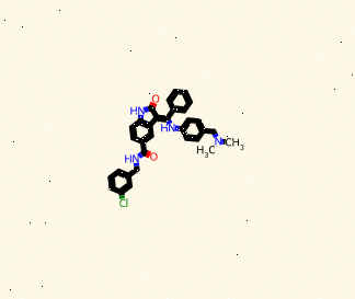 CN(C)Cc1ccc(NC(=C2C(=O)Nc3ccc(C(=O)NCc4cccc(Cl)c4)cc32)c2ccccc2)cc1